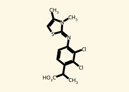 Cc1cs/c(=N\c2ccc(C(C)C(=O)O)c(Cl)c2Cl)n1C